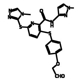 Cn1ccc(NC(=O)c2nc(Sc3nncn3C)ccc2Sc2ccc(OCC=O)cc2)n1